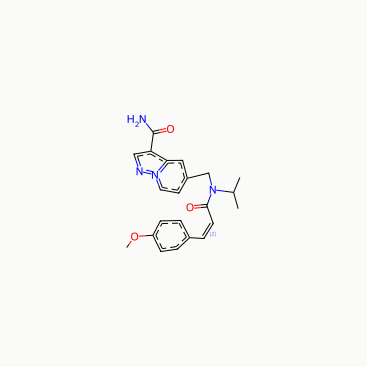 COc1ccc(/C=C\C(=O)N(Cc2ccn3ncc(C(N)=O)c3c2)C(C)C)cc1